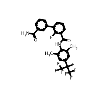 Cc1cc(C(F)(C(F)(F)F)C(F)(F)F)cc(C)c1NC(=O)c1cccc(-c2cccc(C(N)=O)c2)c1F